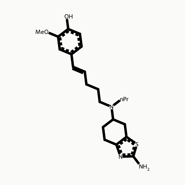 CCCN(CCCC=Cc1ccc(O)c(OC)c1)C1CCc2nc(N)sc2C1